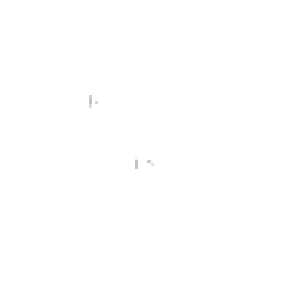 CCN(CC)CCNc1[c]cccc1F